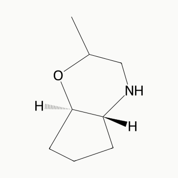 CC1CN[C@@H]2CCC[C@H]2O1